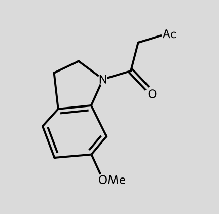 COc1ccc2c(c1)N(C(=O)CC(C)=O)CC2